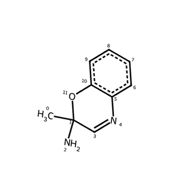 CC1(N)C=Nc2ccccc2O1